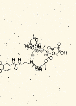 CC[C@H]1OC(=O)[C@H](C)[C@@H](O[C@H]2C[C@@](C)(OC)[C@@H](O)[C@H](C)O2)[C@H](C)[C@@H](O[C@@H]2O[C@H](C)C[C@H](N(C)C)[C@H]2O)[C@](C)(O)C[C@@H](C)CN(CCCNC(=O)Nc2ccc3c(c2)OCCCO3)[C@H](C)[C@@H](O)[C@]1(C)O